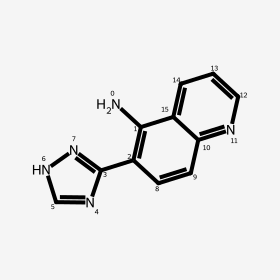 Nc1c(-c2nc[nH]n2)ccc2ncccc12